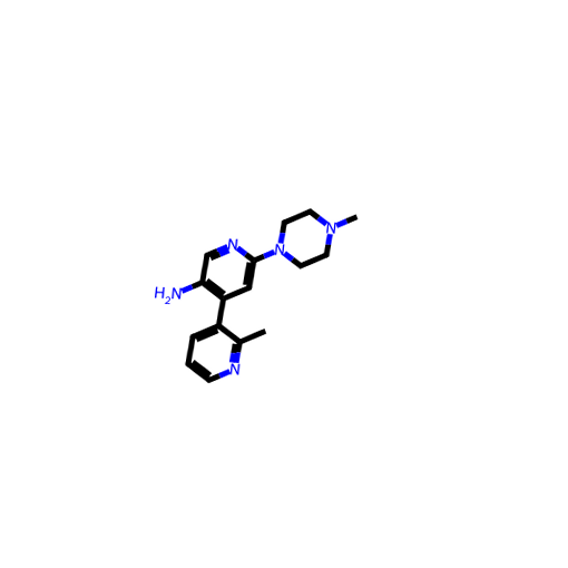 Cc1ncccc1-c1cc(N2CCN(C)CC2)ncc1N